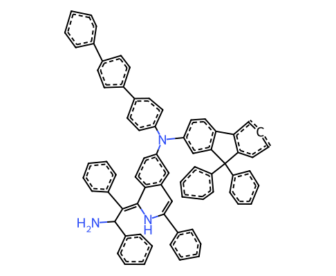 NC(/C(=C1\NC(c2ccccc2)=Cc2cc(N(c3ccc(-c4ccc(-c5ccccc5)cc4)cc3)c3ccc4c(c3)C(c3ccccc3)(c3ccccc3)c3ccccc3-4)ccc21)c1ccccc1)c1ccccc1